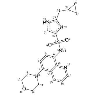 O=S(=O)(Nc1ccc(N2CCOCC2)c2cccnc12)c1c[nH]c(CC2CC2)n1